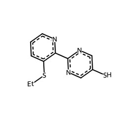 CCSc1cccnc1-c1ncc(S)cn1